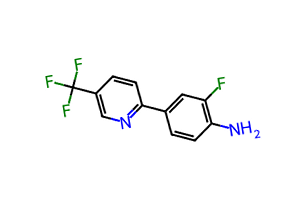 Nc1ccc(-c2ccc(C(F)(F)F)cn2)cc1F